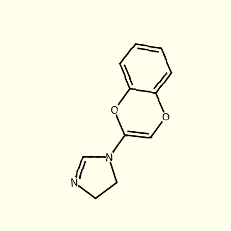 C1=NCCN1C1=COc2ccccc2O1